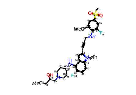 CCCn1c(C#CCNc2c(F)cc(S(C)(=O)=O)cc2OC)cc2c(N[C@H]3CCN(CC(O)COC)C[C@H]3F)cccc21